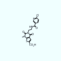 Cn1c(=O)n(CCNC(=O)c2ccc(Cl)nc2)c(=O)c2cc(C(=O)O)sc21